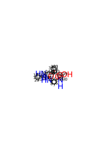 C[C@H](NC(=O)c1cccc(NC(=O)c2nc(C3CCCCC3)[nH]c2CCC23CC4CC(CC(C4)C2)C3)c1)C(=O)O